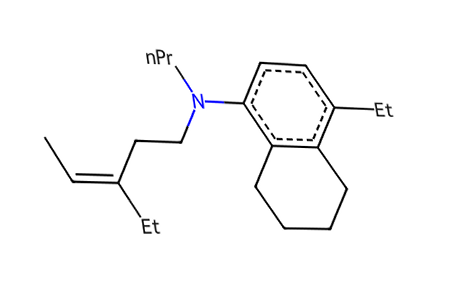 C/C=C(/CC)CCN(CCC)c1ccc(CC)c2c1CCCC2